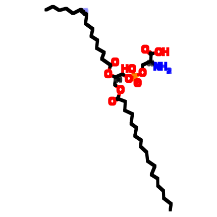 CCCCC/C=C\CCCCCCCC(=O)O[C@H](COC(=O)CCCCCCCCCCCCCCCCCC)COP(=O)(O)OC[C@H](N)C(=O)O